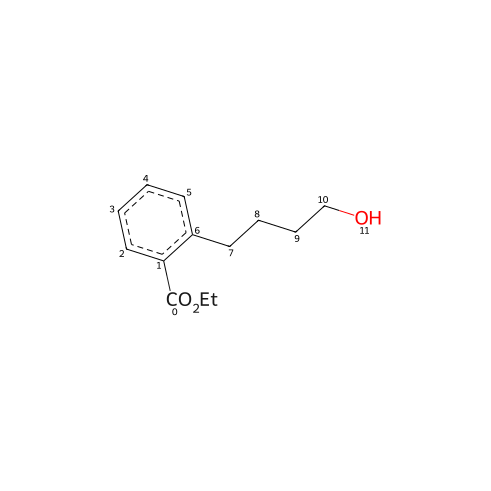 CCOC(=O)c1ccccc1CCCCO